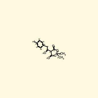 CC1(C)OC(=O)C(C(=O)Cc2ccc(I)cc2)C(=O)O1